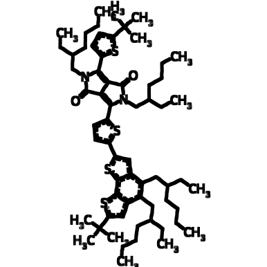 CCCCC(CC)Cc1c(CC(CC)CCCC)c2cc(C(C)(C)C)sc2c2sc(-c3ccc(C4=C5C(=O)N(CC(CC)CCCC)C(c6ccc(C(C)(C)C)s6)=C5C(=O)N4CC(CC)CCCC)s3)cc12